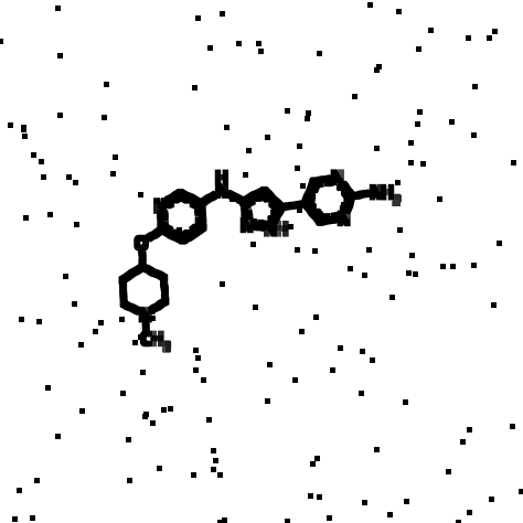 CN1CCC(Oc2ccc(Nc3cc(-c4cnc(N)nc4)[nH]n3)cn2)CC1